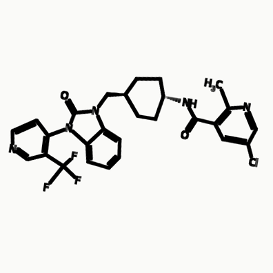 Cc1ncc(Cl)cc1C(=O)N[C@H]1CC[C@H](Cn2c(=O)n(-c3ccncc3C(F)(F)F)c3ccccc32)CC1